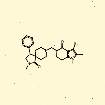 CCc1c(C)[nH]c2c1C(=O)C(CN1CCC3(CC1)C(=O)N(C)CN3c1ccccc1)CC2